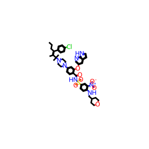 CCCC(=C(C)C(C)(C)N1CCN(c2ccc(C(=O)NS(=O)(=O)c3ccc(NCC4CCOCC4)c([N+](=O)[O-])c3)c(Oc3cnc4[nH]ccc4c3)c2)CC1)c1ccc(Cl)cc1